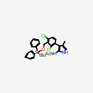 CC(=O)Nc1[nH]cc(C)c1-c1ccc(Cl)c(CO[Si](c2ccccc2)(c2ccccc2)C(C)(C)C)c1Cl